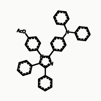 CC(=O)Oc1ccc(-n2c(-c3ccc(N(c4ccccc4)c4ccccc4)cc3)nc(-c3ccccc3)c2-c2ccccc2)cc1